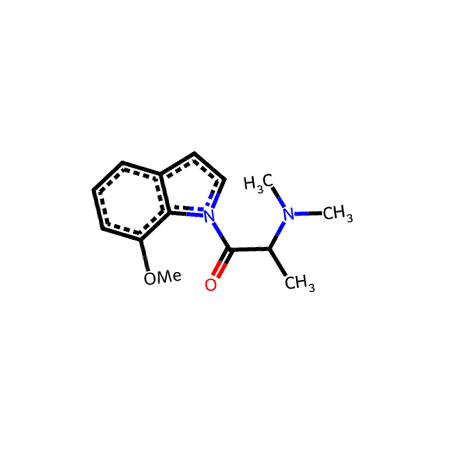 COc1cccc2ccn(C(=O)C(C)N(C)C)c12